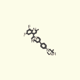 Cc1cc(-c2cnc3cc(-c4ccc(N5CCNC(C)(C)C5)cc4)ccn23)c2cc(F)cc(F)c2n1